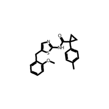 COc1ccccc1Cc1cnc(NC(=O)C2(c3ccc(C)cc3)CC2)s1